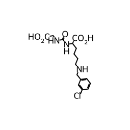 O=C(O)CNC(=O)NC(CCCCNCc1cccc(Cl)c1)C(=O)O